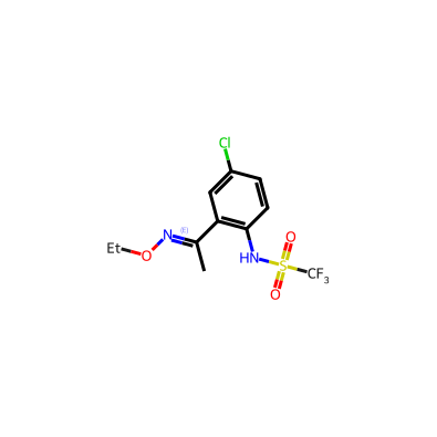 CCO/N=C(\C)c1cc(Cl)ccc1NS(=O)(=O)C(F)(F)F